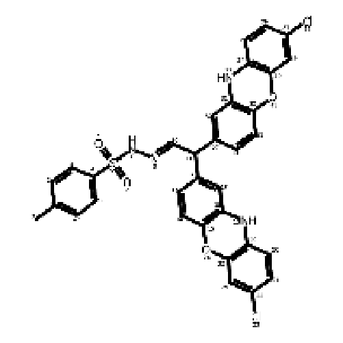 Cc1ccc(S(=O)(=O)N/N=C/C(c2ccc3c(c2)Nc2ccc(Cl)cc2O3)c2ccc3c(c2)Nc2ccc(Cl)cc2O3)cc1